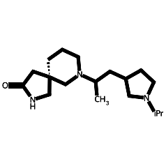 CC(C)N1CCC(CC(C)N2CCC[C@@]3(CNC(=O)C3)C2)C1